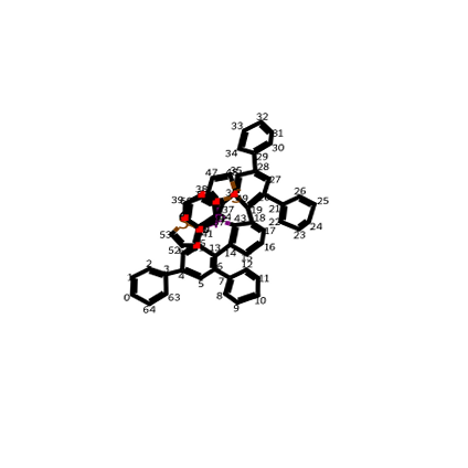 c1ccc(-c2cc(-c3ccccc3)c(-c3cccc(-c4c(-c5ccccc5)cc(-c5ccccc5)cc4-c4ccccc4)c3P(c3cccs3)c3cccs3)c(-c3ccccc3)c2)cc1